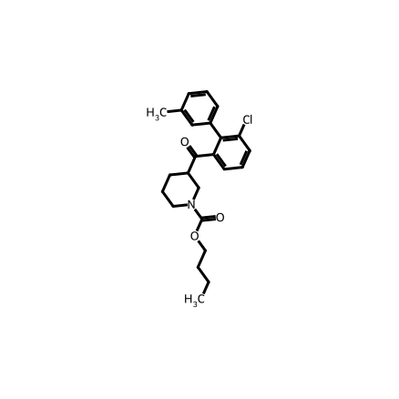 CCCCOC(=O)N1CCCC(C(=O)c2cccc(Cl)c2-c2cccc(C)c2)C1